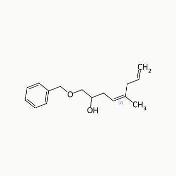 C=CC/C(C)=C\CC(O)COCc1ccccc1